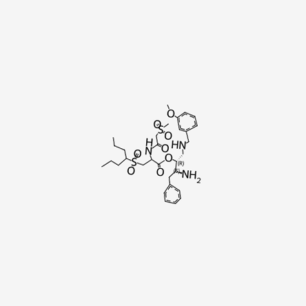 CCCC(CCC)S(=O)(=O)CC(NC(=O)CS(C)(=O)=O)C(=O)O[C@H](CNCc1cccc(OC)c1)[C@@H](N)Cc1ccccc1